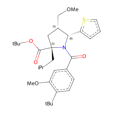 COC[C@H]1C[C@@](CC(C)C)(C(=O)OC(C)(C)C)N(C(=O)c2ccc(C(C)(C)C)c(OC)c2)[C@H]1c1cccs1